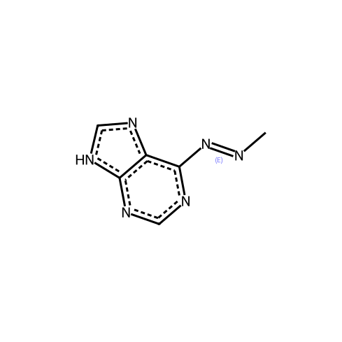 C/N=N/c1ncnc2[nH]cnc12